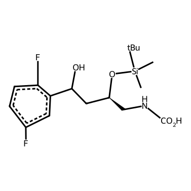 CC(C)(C)[Si](C)(C)O[C@@H](CNC(=O)O)CC(O)c1cc(F)ccc1F